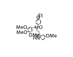 CCOc1ccc(C(=O)N(CCc2c(C)[nH]c3ccc(OC)cc23)Cc2cc(OC)c(OC)c(OC)c2)cc1